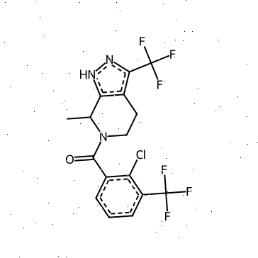 CC1c2[nH]nc(C(F)(F)F)c2CCN1C(=O)c1cccc(C(F)(F)F)c1Cl